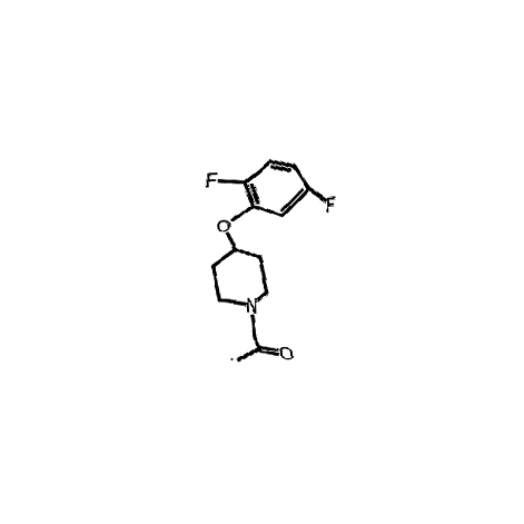 [CH2]C(=O)N1CCC(Oc2cc(F)ccc2F)CC1